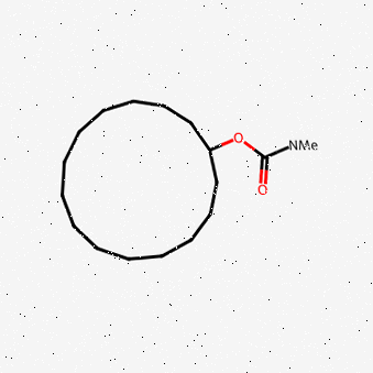 CNC(=O)OC1CCCCCCCCCCCCCC1